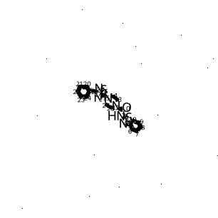 O=C(Nc1nc2ccccc2s1)N1CCN(c2nc(-c3ccccc3)ns2)CC1